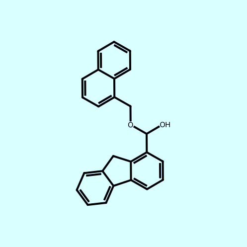 OC(OCc1cccc2ccccc12)c1cccc2c1Cc1ccccc1-2